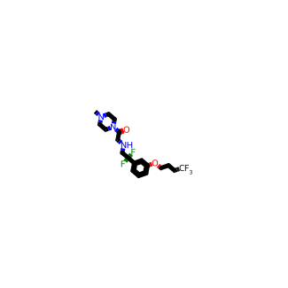 CN1CCN(C(=O)CNCC(F)(F)c2cccc(OCCCC(F)(F)F)c2)CC1